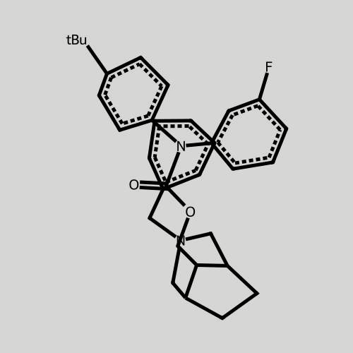 CC(C)(C)c1ccc(N(C(=O)OCC2C3CCC2CN(Cc2ccccc2)C3)c2cccc(F)c2)cc1